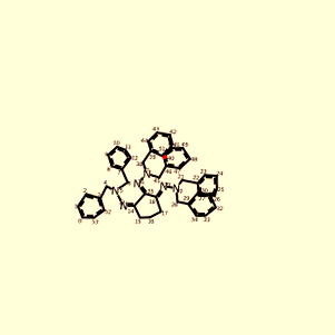 c1ccc(CN(Cc2ccccc2)/N=C2/CCCC(=N\N(Cc3ccccc3)Cc3ccccc3)/C2=N\N(Cc2ccccc2)Cc2ccccc2)cc1